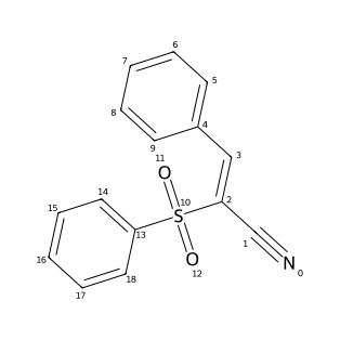 N#CC(=Cc1ccccc1)S(=O)(=O)c1ccccc1